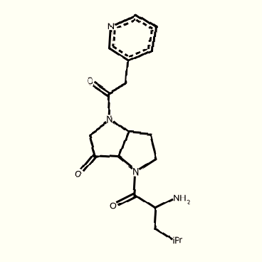 CC(C)CC(N)C(=O)N1CCC2C1C(=O)CN2C(=O)Cc1cccnc1